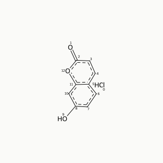 Cl.O=c1ccc2ccc(O)cc2o1